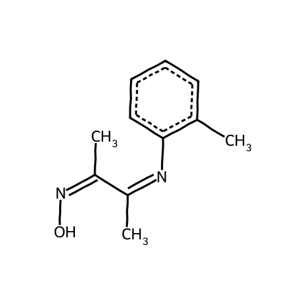 CC(=N/O)/C(C)=N\c1ccccc1C